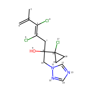 C=C(C)C(Cl)=C(Cl)CC(O)(Cn1cncn1)C1(Cl)CC1